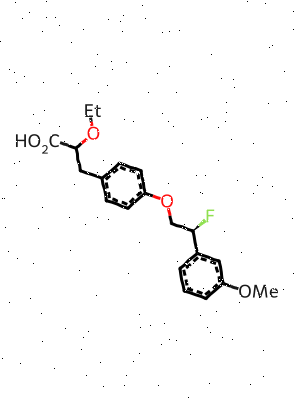 CCOC(Cc1ccc(OC[C@@H](F)c2cccc(OC)c2)cc1)C(=O)O